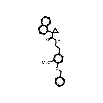 COc1cc(CCNC(=O)C2(c3cccc4ccccc34)CC2)ccc1OCc1ccccc1